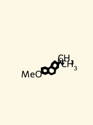 COc1ccc2c(c1)CCc1cc(N(C)C)ccc1-2